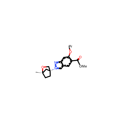 COC(=O)c1cc2cn([C@]34CC[C@](C)(C3)OC4)nc2cc1OC(C)C